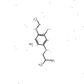 CC(N)COc1ccc(OCC(F)(F)F)c(F)c1.Cl